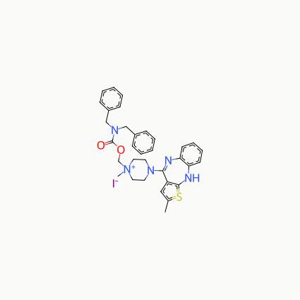 Cc1cc2c(s1)Nc1ccccc1N=C2N1CC[N+](C)(COC(=O)N(Cc2ccccc2)Cc2ccccc2)CC1.[I-]